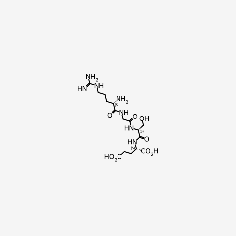 N=C(N)NCCC[C@H](N)C(=O)NCC(=O)N[C@@H](CO)C(=O)N[C@@H](CCC(=O)O)C(=O)O